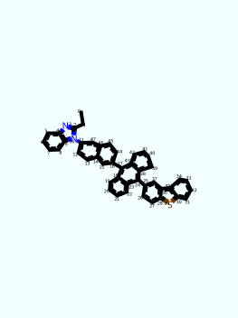 CCc1nc2ccccc2n1-c1ccc2cc(-c3c4ccccc4c(-c4ccc5sc6ccccc6c5c4)c4ccccc34)ccc2c1